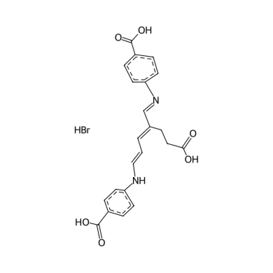 Br.O=C(O)CCC(/C=N/c1ccc(C(=O)O)cc1)=C\C=C\Nc1ccc(C(=O)O)cc1